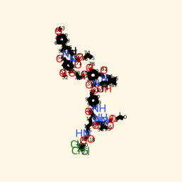 C=CCOC(=O)N[C@H](C(=O)N[C@@H](CCCCNC(=O)OCC(Cl)(Cl)Cl)C(=O)Nc1ccc(COC(=O)N2c3cc(OCCCOc4cc5c(cc4OC)C(=O)N4C=C(c6ccc(OC)cc6)C[C@H]4CN5C(=O)OCC=C)c(OC)cc3C(=O)N3CC4(CC4)C[C@H]3C2O)cc1)C(C)C